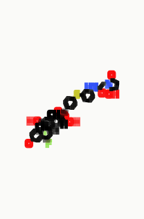 C[C@]12C=CC(=O)C=C1[C@@H](F)C[C@H]1[C@@H]3C[C@H]4O[C@@H](c5ccc(Sc6cccc(NC(=O)CN7C(=O)C=CC7O)c6)cc5)O[C@@]4(C(=O)CO)[C@@]3(C)C[C@H](O)[C@@]12F